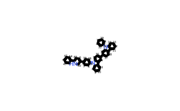 C1=C(c2ccc(-n3c4ccccc4c4cc(-c5ccc6c7ccccc7n(-c7ccccc7)c6c5)ccc43)cc2)CNC(c2ccccc2)=C1